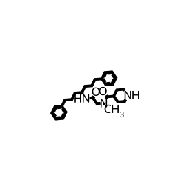 CN(CC(=O)NC(CCCc1ccccc1)CCCc1ccccc1)C(=O)C1CCNCC1